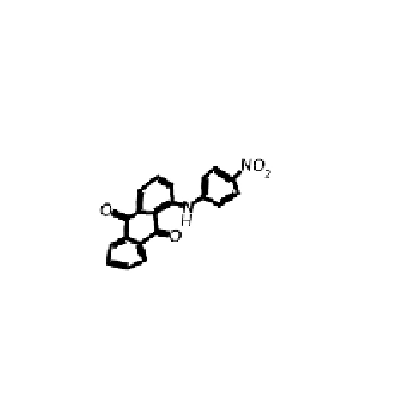 O=C1c2ccccc2C(=O)c2c(Nc3ccc([N+](=O)[O-])cc3)cccc21